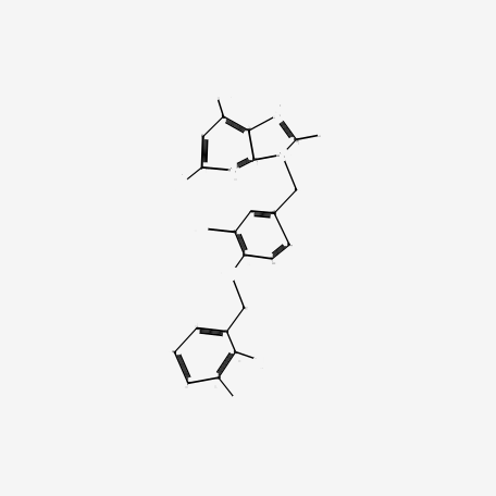 CCCc1cc(Cn2c(CC)nc3c(C)cc(C)nc32)ccc1OCc1cccc(C(=O)O)c1Cl